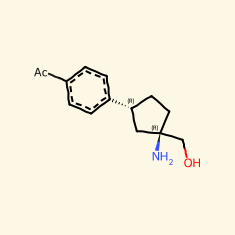 CC(=O)c1ccc([C@@H]2CC[C@](N)(CO)C2)cc1